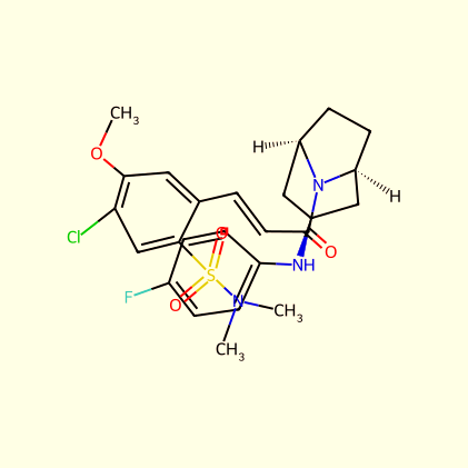 COc1cc(/C=C/C(=O)N2[C@@H]3CC[C@H]2C[C@@H](Nc2ccc(F)cc2)C3)c(S(=O)(=O)N(C)C)cc1Cl